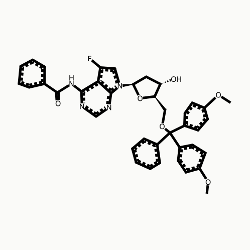 COc1ccc(C(OC[C@H]2O[C@@H](n3cc(F)c4c(NC(=O)c5ccccc5)ncnc43)C[C@@H]2O)(c2ccccc2)c2ccc(OC)cc2)cc1